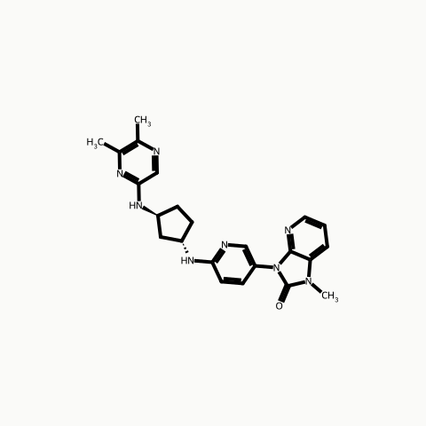 Cc1ncc(N[C@H]2CC[C@H](Nc3ccc(-n4c(=O)n(C)c5cccnc54)cn3)C2)nc1C